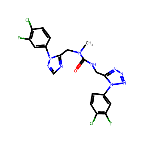 CN(Cc1ncnn1-c1ccc(Cl)c(F)c1)C(=O)NCc1nnnn1-c1ccc(Cl)c(F)c1